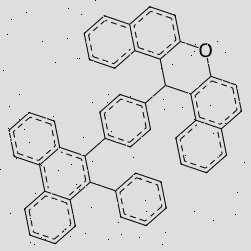 c1ccc(-c2c(-c3ccc(C4c5c(ccc6ccccc56)Oc5ccc6ccccc6c54)cc3)c3ccccc3c3ccccc23)cc1